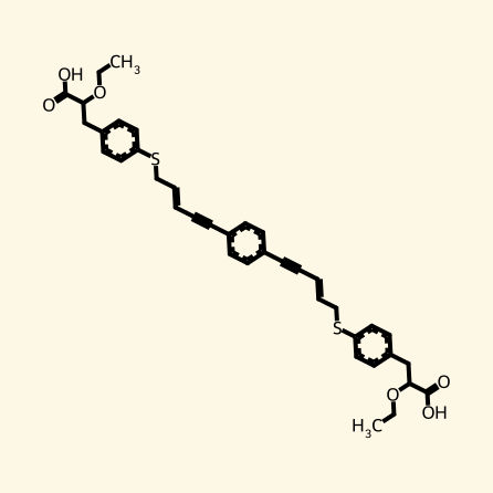 CCOC(Cc1ccc(SCC=CC#Cc2ccc(C#CC=CCSc3ccc(CC(OCC)C(=O)O)cc3)cc2)cc1)C(=O)O